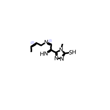 C/C=C\C/N=C\C(=N)c1nnc(S)n1C